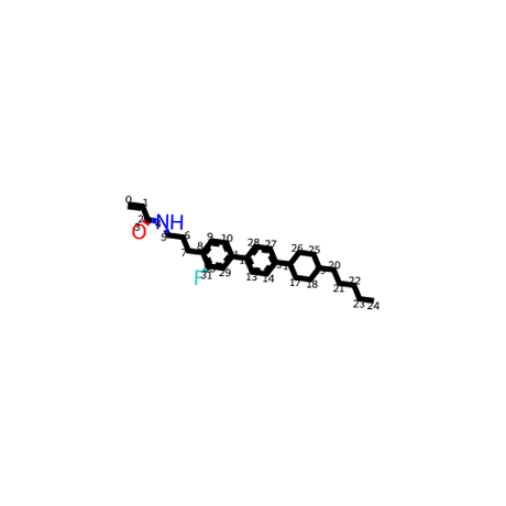 C=CC(=O)NCCCc1ccc(-c2ccc(C3CCC(CCCCC)CC3)cc2)cc1F